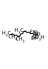 CCOP(=O)(OCC)C(CCCCC=C(C)CCC=C(C)CCC=C(C)C)S(=O)(=O)O